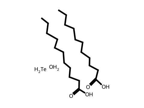 CCCCCCCCCCC(=O)O.CCCCCCCCCCC(=O)O.O.[TeH2]